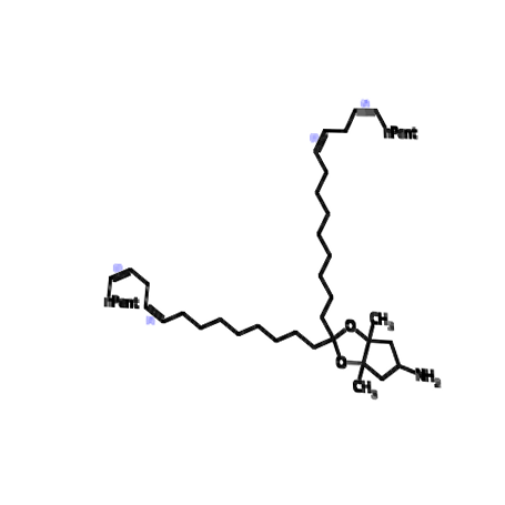 CCCCC/C=C\C/C=C\CCCCCCCCC1(CCCCCCCC/C=C\C/C=C\CCCCC)OC2(C)CC(N)CC2(C)O1